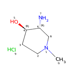 CN1CC[C@@H](O)[C@H](N)C1.Cl